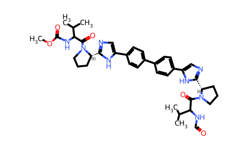 COC(=O)NC(C(=O)N1CCC[C@H]1c1ncc(-c2ccc(-c3ccc(-c4cnc([C@@H]5CCCN5C(=O)C(NC=O)C(C)C)[nH]4)cc3)cc2)[nH]1)C(C)C